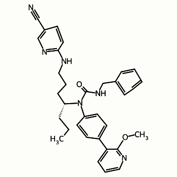 CCC[C@H](CCCNc1ccc(C#N)cn1)N(C(=O)NCc1ccccc1)c1ccc(-c2cccnc2OC)cc1